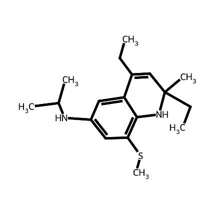 CCC1=CC(C)(CC)Nc2c(SC)cc(NC(C)C)cc21